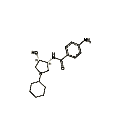 Nc1ccc(C(=O)N[C@@H]2CN(C3CCCCC3)C[C@@H]2O)cc1